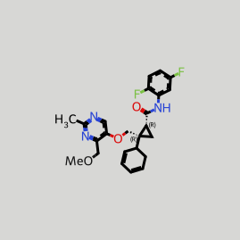 COCc1nc(C)ncc1OC[C@@]1(C2C=CC=CC2)C[C@H]1C(=O)Nc1cc(F)ccc1F